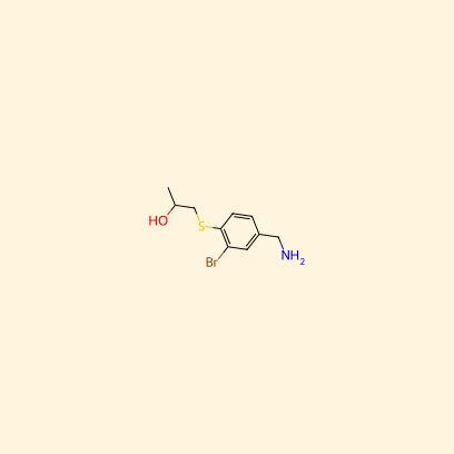 CC(O)CSc1ccc(CN)cc1Br